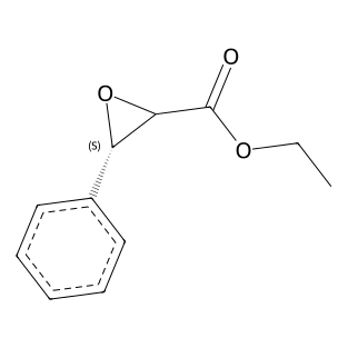 CCOC(=O)C1O[C@H]1c1ccccc1